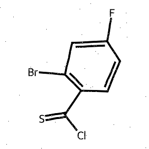 Fc1ccc(C(=S)Cl)c(Br)c1